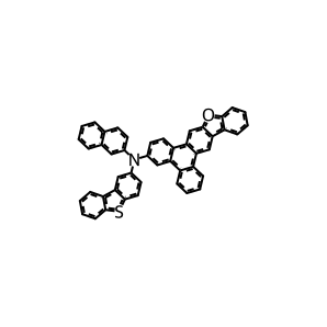 c1ccc2cc(N(c3ccc4sc5ccccc5c4c3)c3ccc4c(c3)c3ccccc3c3cc5c(cc43)oc3ccccc35)ccc2c1